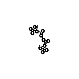 c1ccc(C2(c3ccccc3)c3ccc(-n4c5ccccc5c5cc(-c6ccc7c(c6)c6ccccc6n7-c6ccc7c(c6)-c6ncccc6C7(c6ccccc6)c6ccccc6)ccc54)cc3-c3ncccc32)cc1